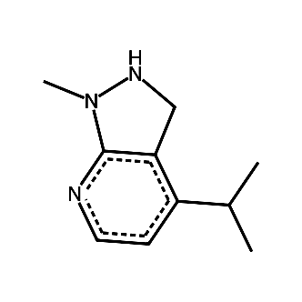 CC(C)c1ccnc2c1CNN2C